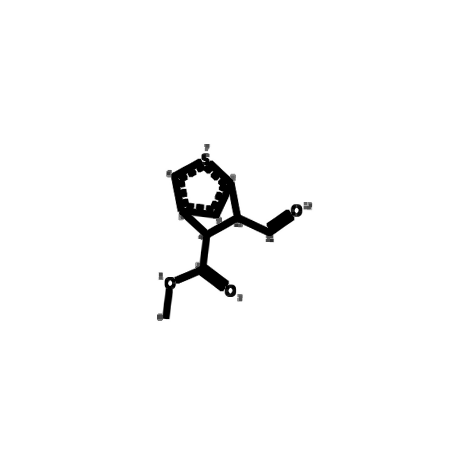 COC(=O)C1c2csc(c2)C1C=O